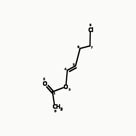 CC(=O)OC=CCCCl